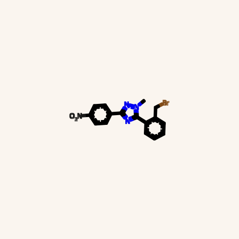 Cn1nc(-c2ccc([N+](=O)[O-])cc2)nc1-c1ccccc1CBr